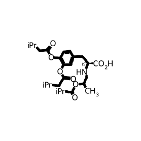 CC(C)CC(=O)Oc1ccc(C[C@H](NCC(C)OC(=O)C(C)C)C(=O)O)cc1OC(=O)CC(C)C